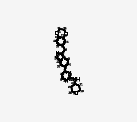 c1cc(-c2ccn3c(Cc4ccc5c(c4)OCCO5)nnc3c2)nc(NC2CCOCC2)n1